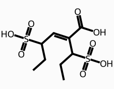 CCC(C=C(C(=O)O)C(CC)S(=O)(=O)O)S(=O)(=O)O